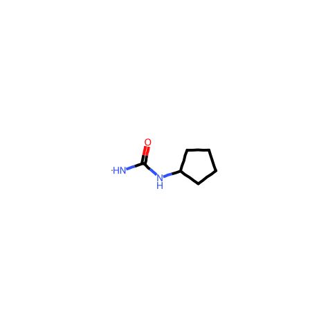 [NH]C(=O)NC1CCCC1